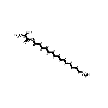 CCCCCCCCCCCCCCCCOC(=O)C(C)O.[LiH]